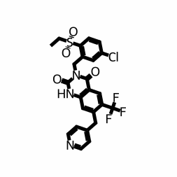 CCS(=O)(=O)c1ccc(Cl)cc1Cn1c(=O)[nH]c2cc(Cc3ccncc3)c(C(F)(F)F)cc2c1=O